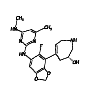 CNc1cc(C)nc(Nc2cc3c(c(C4=CCNC[C@H](O)C4)c2F)OCO3)n1